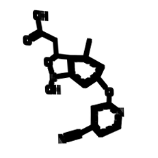 Cc1cc(Oc2cc(C#N)ccn2)cc2c1C(CC(=O)O)OB2O